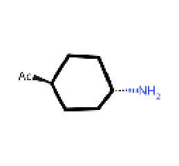 CC(=O)[C@H]1CC[C@H](N)CC1